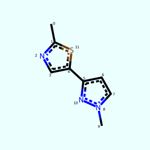 Cc1ncc(-c2ccn(C)n2)s1